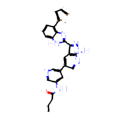 CCCC(=O)Nc1cncc(-c2cnc3[nH]nc(-c4nc5c(-c6cccs6)cccc5[nH]4)c3c2)c1